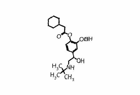 CC(C)(C)NCC(O)c1ccc(OC(=O)CC2CCCCC2)c(O)c1.Cl